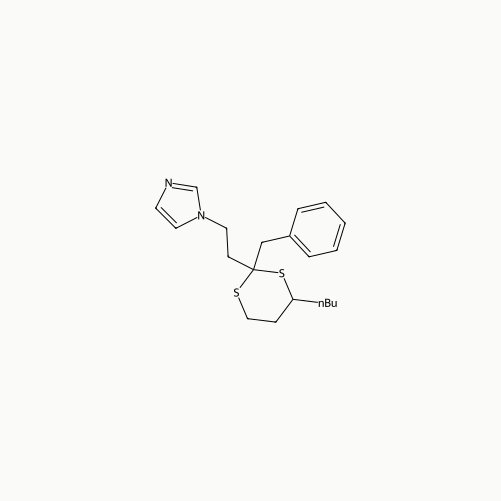 CCCCC1CCSC(CCn2ccnc2)(Cc2ccccc2)S1